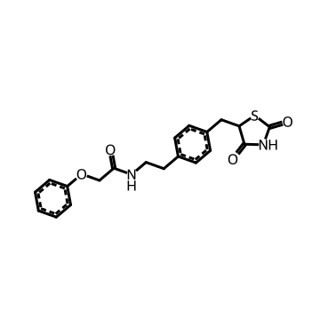 O=C(COc1ccccc1)NCCc1ccc(CC2SC(=O)NC2=O)cc1